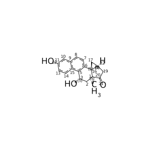 C[C@]12C[C@H](O)c3c(ccc4cc(O)ccc34)[C@@]13C[C@H]3CC2=O